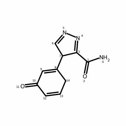 NC(=O)C1=NN=CC1C1=CC(=O)C=CC1